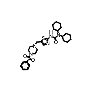 O=C(Nc1ncc(CN2CCN(S(=O)(=O)c3ccccc3)CC2)s1)N(C1CCCCC1)C1CCCCC1